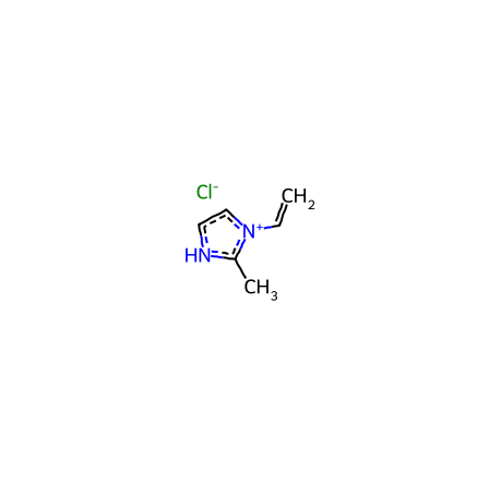 C=C[n+]1cc[nH]c1C.[Cl-]